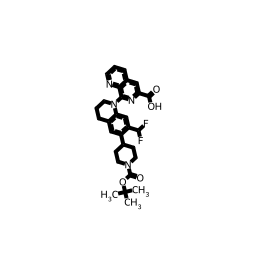 CC(C)(C)OC(=O)N1CCC(c2cc3c(cc2C(F)F)N(c2nc(C(=O)O)cc4cccnc24)CCC3)CC1